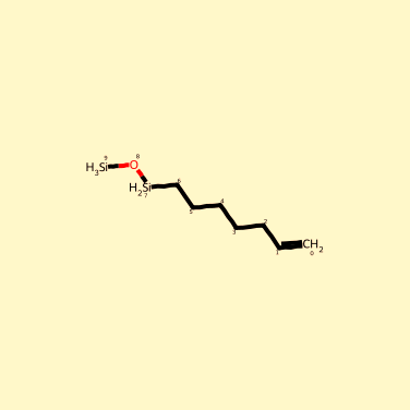 C=CCCCCC[SiH2]O[SiH3]